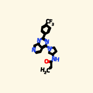 C=CC(=O)NC1CCN(c2nc(-c3ccc(C(F)(F)F)cc3)nc3cnccc23)C1